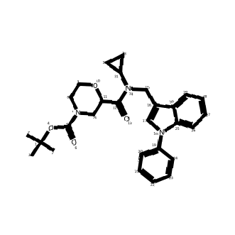 CC(C)(C)OC(=O)N1CCOC(C(=O)N(Cc2cn(-c3ccccc3)c3ccccc23)C2CC2)C1